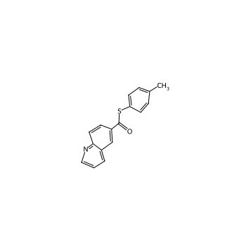 Cc1ccc(SC(=O)c2ccc3ncccc3c2)cc1